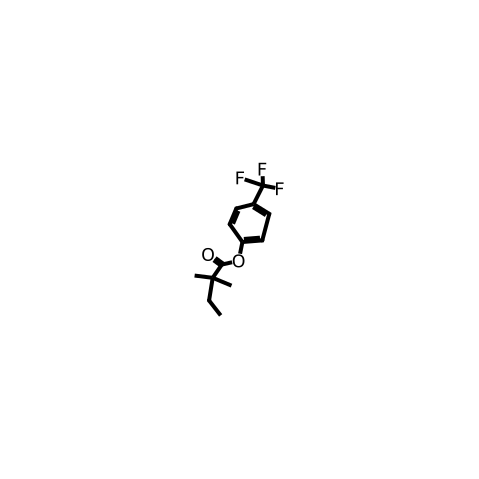 CCC(C)(C)C(=O)Oc1ccc(C(F)(F)F)cc1